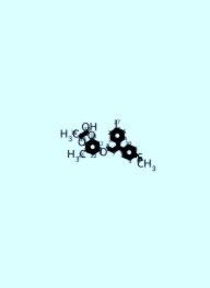 CSc1ccc(/C(=C/COc2ccc(OC(C)C(=O)O)c(C)c2)c2ccc(I)cc2)cc1